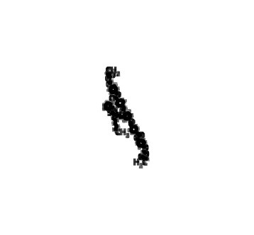 C=CC(=O)OCOc1ccc(OC(=O)C2CCC(COc3ccc(OCC4CCC(C(=O)Oc5ccc(OCOC(=O)C=C)cc5)CC4)c(/C=N/N(CCCCCC)c4nc5ccccc5s4)c3)CC2)cc1